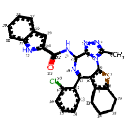 Cc1nnc2n1-c1sc3c(c1C(c1ccccc1Cl)=NC2NC(=O)c1cc2ccccc2[nH]1)CCCC3